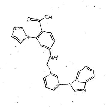 O=C(O)c1ccc(NCc2cccc(-n3cnc4ccccc43)c2)cc1-n1ccnc1